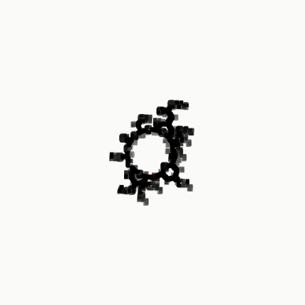 C=C1C[C@H]2C[C@]3(O)O[C@H](C[C@@H](O)CC(=O)O[C@@H](CO)C[C@@H]4C/C(=C\C(=O)OC)[C@H](OC(C)=O)[C@@](O)(O4)C(C)(C)/C=C/[C@@H](C1)O2)C[C@H](OC(C)=O)C3(C)C